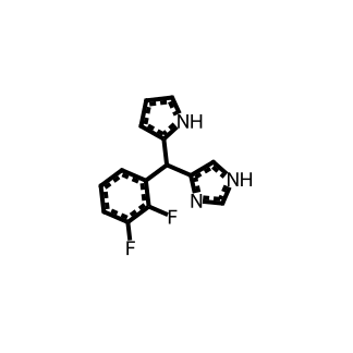 Fc1cccc(C(c2c[nH]cn2)c2ccc[nH]2)c1F